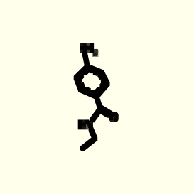 Bc1ccc(C(=O)NCC)cc1